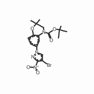 CC(C)(C)OC(=O)N1CC(C)(C)Oc2ccc(-n3cc(Br)c([N+](=O)[O-])n3)cc21